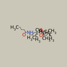 CCCCC(=O)NCC(C)CC(C)(C)C(=O)OC(C)(C)CC(C)(C)C